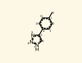 Cc1c[c]c(-c2c[nH]nn2)cc1